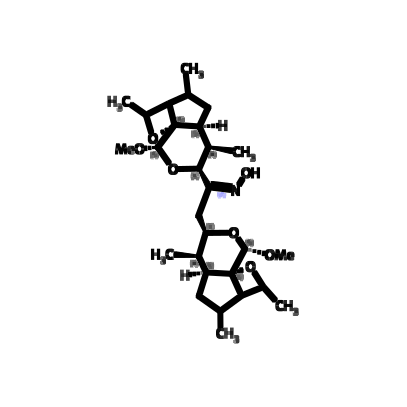 CO[C@H]1O[C@H](/C(C[C@H]2O[C@H](OC)[C@@]34OC(C)C3C(C)C[C@H]4[C@H]2C)=N\O)[C@H](C)[C@@H]2CC(C)C3C(C)O[C@@]312